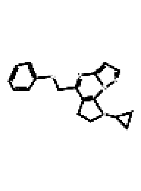 c1ccc(OCc2nc3ccnn3c3c2CCN3C2CC2)cc1